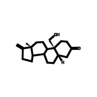 C=C1CCC2C3CC[C@H]4CC(=O)CC[C@]4(CO)C3CC[C@]12C